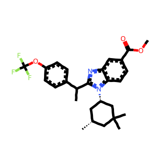 COC(=O)c1ccc2c(c1)nc(C(C)c1ccc(OC(F)(F)F)cc1)n2[C@H]1C[C@@H](C)CC(C)(C)C1